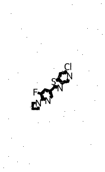 Fc1cc(-c2nc3cnc(Cl)cc3s2)cnc1N1CCC1